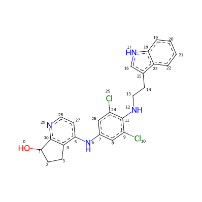 OC1CCc2c(Nc3cc(Cl)c(NCCc4c[nH]c5ccccc45)c(Cl)c3)ccnc21